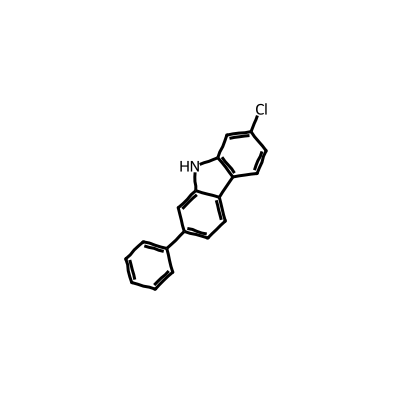 Clc1ccc2c(c1)[nH]c1cc(-c3ccccc3)ccc12